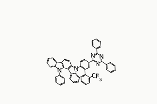 FC(F)(F)c1ccccc1-c1cc(-c2nc(-c3ccccc3)nc(-c3ccccc3)n2)ccc1-n1c2ccccc2c2c1ccc1c3ccccc3n(-c3ccccc3)c12